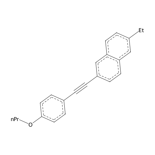 CCCOc1ccc(C#Cc2ccc3cc(CC)ccc3c2)cc1